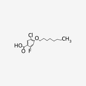 CCCCCCCCOc1cc(F)c(C(=O)O)cc1Cl